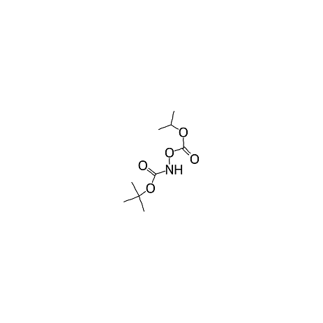 CC(C)OC(=O)ONC(=O)OC(C)(C)C